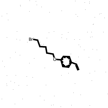 C=Cc1ccc(OCCCCCBr)cc1